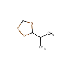 CC(C)C1SCSS1